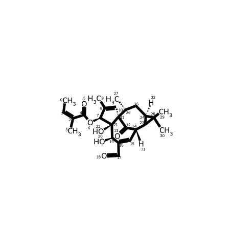 C/C=C(/C)C(=O)O[C@H]1C(C)=C[C@]23C(=O)[C@@H](C=C(C=O)[C@@H](O)[C@]12O)C1[C@@H](C[C@H]3C)C1(C)C